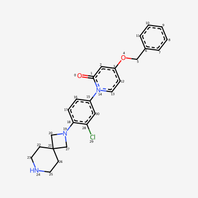 O=c1cc(OCc2ccccc2)ccn1-c1ccc(N2CC3(CCNCC3)C2)c(Cl)c1